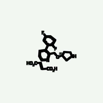 Fc1ccc(F)c(-c2cccnc2CO[C@H]2CCNC2)c1.O=C(O)C=CC(=O)O